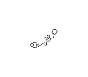 c1ccc(Cc2cc(OCCN3CCOCC3)no2)cc1